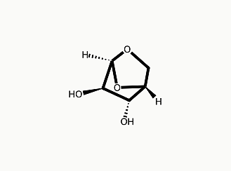 O[C@@H]1[C@@H](O)[C@H]2OC[C@H]1O2